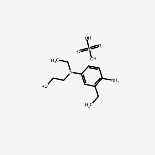 CCc1cc(N(CC)CCO)ccc1N.O=S(=O)(O)O